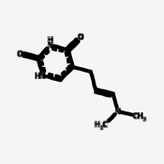 CN(C)C=CCc1c[nH]c(=O)[nH]c1=O